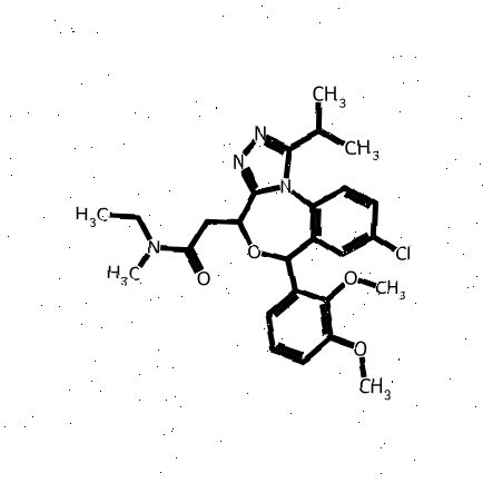 CCN(C)C(=O)CC1OC(c2cccc(OC)c2OC)c2cc(Cl)ccc2-n2c(C(C)C)nnc21